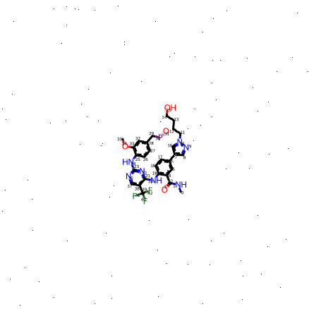 CNC(=O)c1cc(-c2cnn(CCCCO)c2)ccc1Nc1nc(Nc2ccc(CP=O)cc2OC)ncc1C(F)(F)F